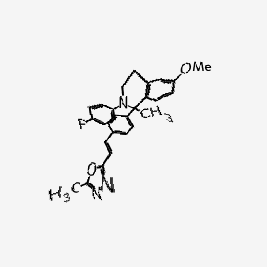 COc1ccc2c(c1)CCN(c1ccc(F)cc1)C2(C)c1ccc(C=Cc2nnc(C)o2)cc1